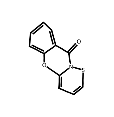 O=C1c2ccccc2OC2=CC=CSN12